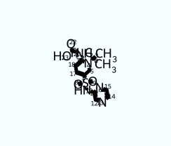 CC(C)(C)N1CC(S(=O)(=O)Nc2cnccn2)=CC=C1NC(=O)O